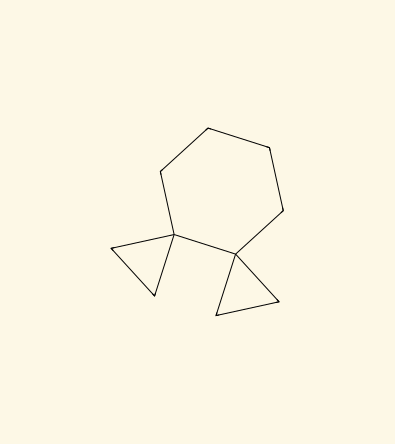 C1CCC2(CC2)C2(C1)CC2